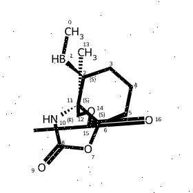 CB[C@H]1CCC[C@]23OC(=O)N[C@]12[C@@H](C)OC3=O